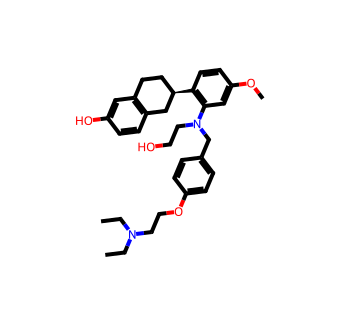 CCN(CC)CCOc1ccc(CN(CCO)c2cc(OC)ccc2[C@@H]2CCc3cc(O)ccc3C2)cc1